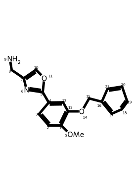 COc1ccc(-c2nc(CN)co2)cc1OCc1ccccc1